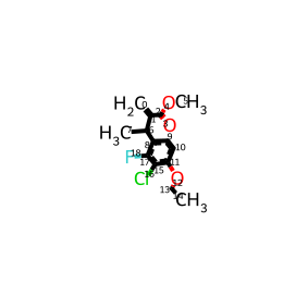 C=C(C(=O)OC)C(C)c1ccc(OCC)c(Cl)c1F